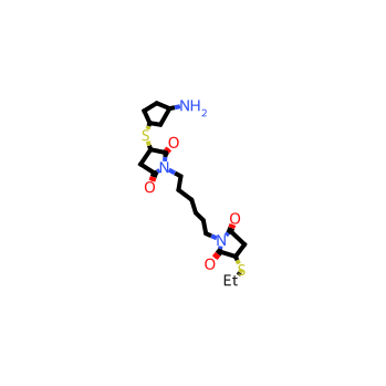 CCSC1CC(=O)N(CCCCCCN2C(=O)CC(SC3CCC(N)C3)C2=O)C1=O